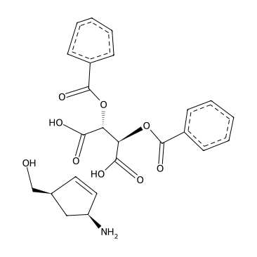 N[C@@H]1C=C[C@H](CO)C1.O=C(O[C@@H](C(=O)O)[C@@H](OC(=O)c1ccccc1)C(=O)O)c1ccccc1